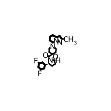 Cc1cc2cccc(N3CCC4(CC3)O[C@@H]3CC[C@@H](c5cc(F)cc(F)c5)N3C4=O)n2n1